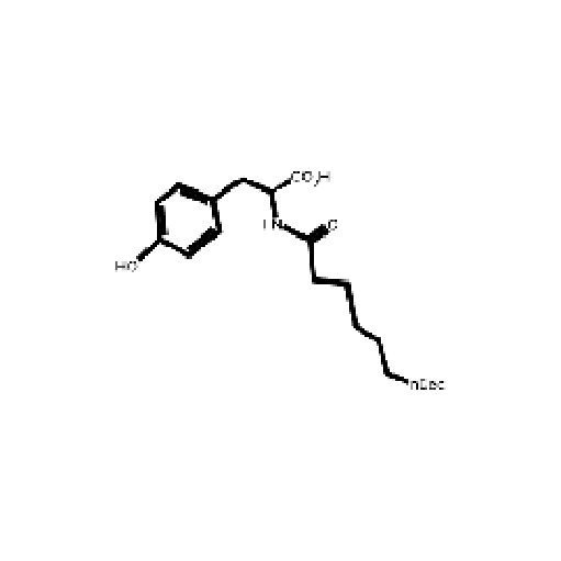 CCCCCCCCCCCCCCCC(=O)N[C@@H](Cc1ccc(O)cc1)C(=O)O